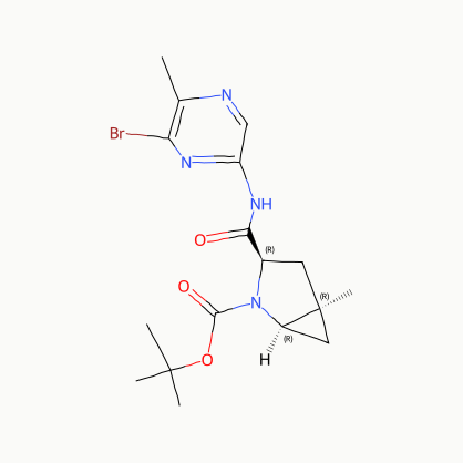 Cc1ncc(NC(=O)[C@H]2C[C@@]3(C)C[C@H]3N2C(=O)OC(C)(C)C)nc1Br